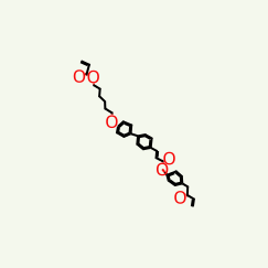 C=CC(=O)Cc1ccc(OC(=O)/C=C/c2ccc(-c3ccc(OCCCCCCOC(=O)C=C)cc3)cc2)cc1